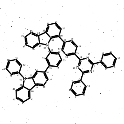 c1ccc(-c2nc(-c3ccccc3)nc(-c3ccc(-c4cccc5c6ccccc6n(-c6cccc(-c7ccc8c9ccccc9n(-c9ccccc9)c8c7)c6)c45)cc3)n2)cc1